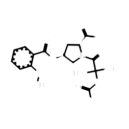 COc1ccccc1C(=O)O[C@H]1C[C@@H](C(=O)O)N(C(=O)C(C)(C)SC(C)=O)C1